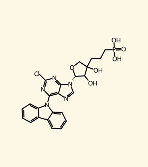 O=P(O)(O)CCCC1(O)CO[C@@H](n2cnc3c(-n4c5ccccc5c5ccccc54)nc(Cl)nc32)C1O